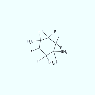 BC1(F)C(F)C(B)(F)C(C)(F)C(C)(F)C1(B)F